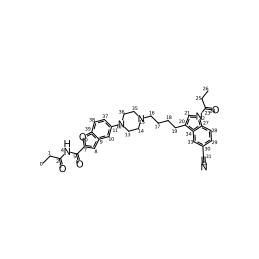 CCC(=O)NC(=O)c1cc2cc(N3CCN(CCCCc4cn(C(=O)CC)c5ccc(C#N)cc45)CC3)ccc2o1